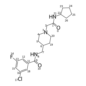 O=C(CN1CCC(CNC(=O)c2cc(F)cc(Cl)c2)CC1)NC1CCCC1